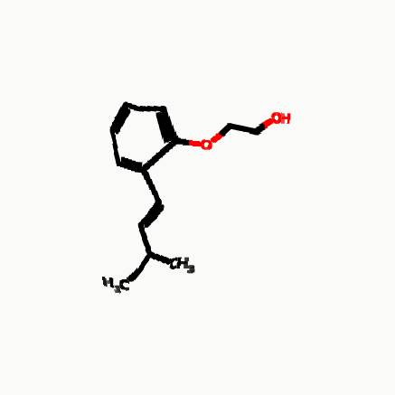 CC(C)/C=C/c1ccccc1OCCO